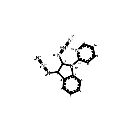 [N-]=[N+]=NC1c2ccccc2N(c2ccccn2)C1N=[N+]=[N-]